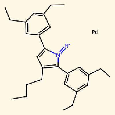 CCCCC1=C(c2cc(CC)cc(CC)c2)[N+](=[N-])C(c2cc(CC)cc(CC)c2)=C1.[Pd]